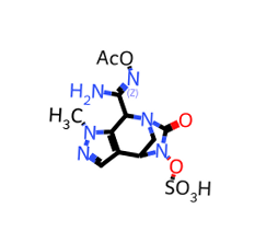 CC(=O)O/N=C(\N)C1c2c(cnn2C)C2CN1C(=O)N2OS(=O)(=O)O